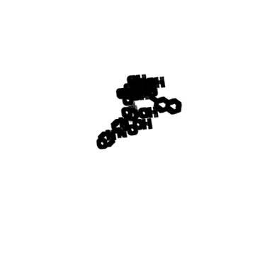 O=c1nc(N2CCOCC2)ccn1[C@@H]1O[C@H](COP(=O)(O)OP(=O)(O)OP(=O)(O)OCc2ccc3ccccc3c2)[C@H](O)C1O